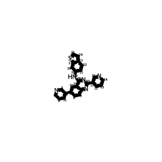 c1cncc(-c2ccc3nc(-c4cccnc4)nc(Nc4ccc5ccsc5c4)c3c2)c1